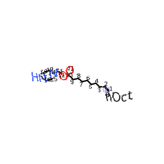 CCCCCCCC/C=C\CCCCCCCC(=O)OCN1CCNCC1